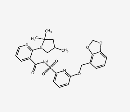 CC1CN(c2ncccc2C(=O)NS(=O)(=O)c2cccc(OCc3cccc4c3OCO4)n2)C(C)(C)C1